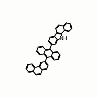 c1ccc2c(c1)ccc1ccc(-c3c4ccccc4c(-c4ccc5c(c4)[nH]c4c6ccccc6ccc54)c4ccccc34)cc12